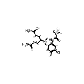 CN(C)C(CSC(N)=O)CSC(N)=O.Cc1ccc(NC(=O)N(C)C)cc1Cl.[Cu]